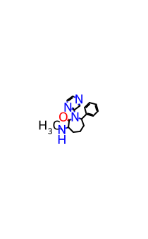 CNC1CCCC(c2ccccc2)N(c2cnccn2)C1=O